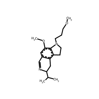 COCCCN1CCc2c3c(cc(OC)c21)C=NC(C(C)C)C3